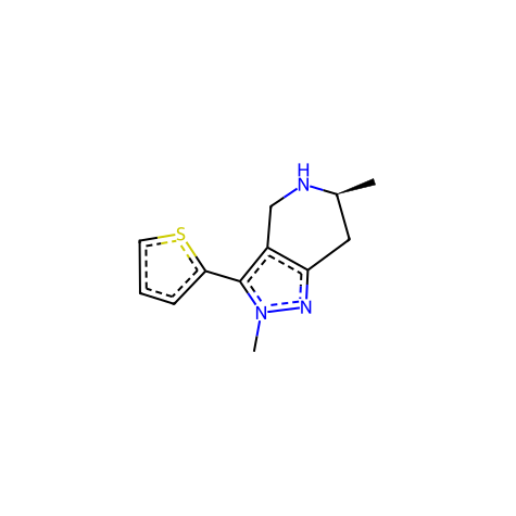 C[C@H]1Cc2nn(C)c(-c3cccs3)c2CN1